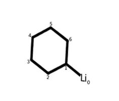 [Li][CH]1CCCCC1